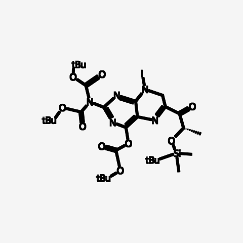 C[C@H](O[Si](C)(C)C(C)(C)C)C(=O)C1=Nc2c(OC(=O)OC(C)(C)C)nc(N(C(=O)OC(C)(C)C)C(=O)OC(C)(C)C)nc2N(I)C1